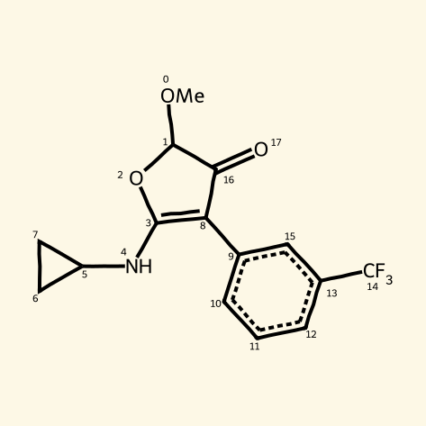 COC1OC(NC2CC2)=C(c2cccc(C(F)(F)F)c2)C1=O